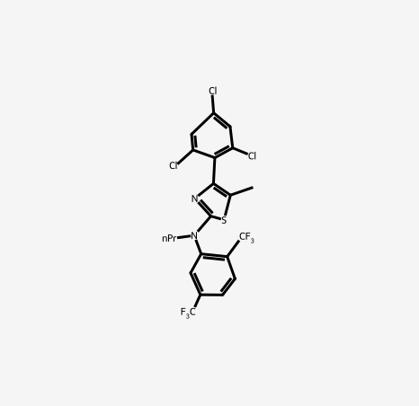 CCCN(c1nc(-c2c(Cl)cc(Cl)cc2Cl)c(C)s1)c1cc(C(F)(F)F)ccc1C(F)(F)F